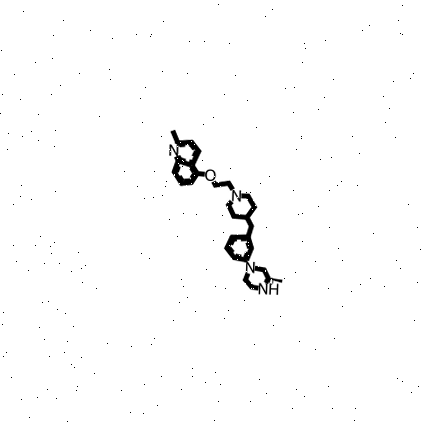 Cc1ccc2c(OCCN3CCC(Cc4cccc(N5CCN[C@H](C)C5)c4)CC3)cccc2n1